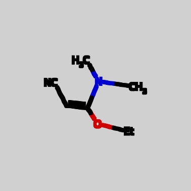 CCOC(=CC#N)N(C)C